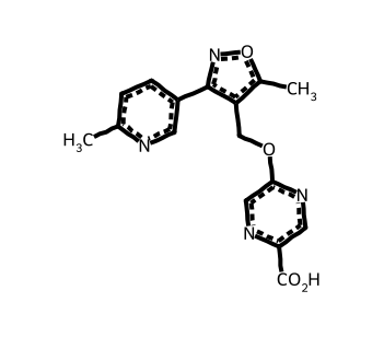 Cc1ccc(-c2noc(C)c2COc2cnc(C(=O)O)cn2)cn1